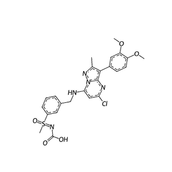 COc1ccc(-c2c(C)nn3c(NCc4cccc(S(C)(=O)=NC(=O)O)c4)cc(Cl)nc23)cc1OC